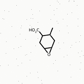 CC1CC2OC2CC1C(=O)O